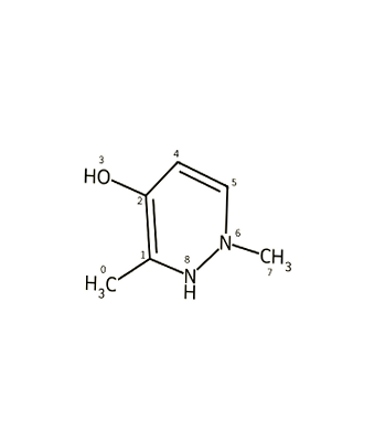 CC1=C(O)C=CN(C)N1